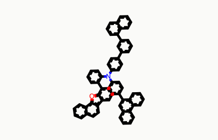 c1cc(-c2ccc(N(c3ccc(-c4cc5ccccc5c5ccccc45)cc3)c3ccccc3-c3cccc4c3oc3c5ccccc5ccc43)cc2)cc(-c2cccc3ccccc23)c1